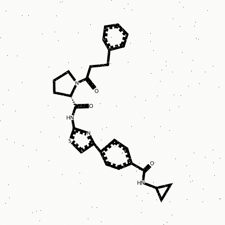 O=C(NC1CC1)c1ccc(-c2csc(NC(=O)[C@@H]3CCCN3C(=O)CCc3ccccc3)n2)cc1